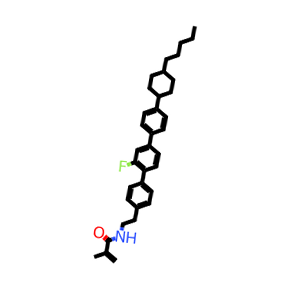 C=C(C)C(=O)NCCc1ccc(-c2ccc(-c3ccc(C4CCC(CCCCC)CC4)cc3)cc2F)cc1